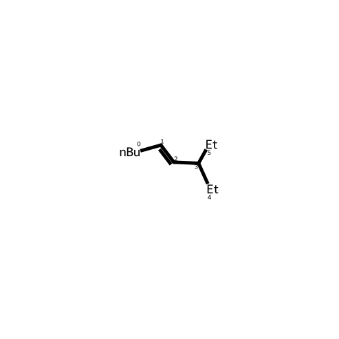 [CH2]CCC/C=C/C(CC)CC